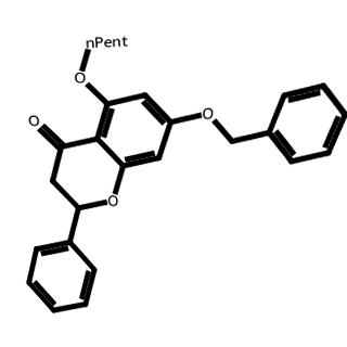 CCCCCOc1cc(OCc2ccccc2)cc2c1C(=O)CC(c1ccccc1)O2